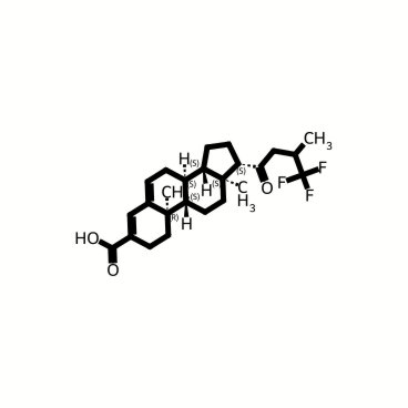 CC(CC(=O)[C@H]1CC[C@H]2[C@@H]3CC=C4C=C(C(=O)O)CC[C@]4(C)[C@H]3CC[C@]12C)C(F)(F)F